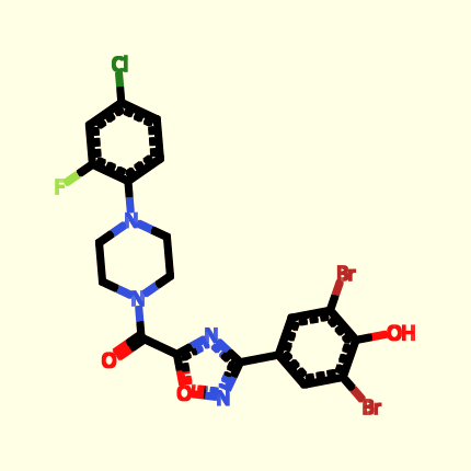 O=C(c1nc(-c2cc(Br)c(O)c(Br)c2)no1)N1CCN(c2ccc(Cl)cc2F)CC1